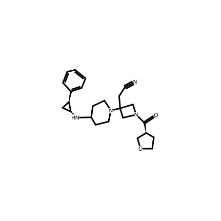 N#CCC1(N2CCC(N[C@@H]3C[C@H]3c3ccccc3)CC2)CN(C(=O)[C@H]2CCOC2)C1